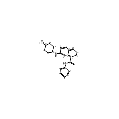 C=C(Nc1ccccn1)c1cccc2cnc(N[C@H]3CC[C@H](O)CC3)nc12